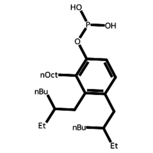 CCCCCCCCc1c(OP(O)O)ccc(CC(CC)CCCC)c1CC(CC)CCCC